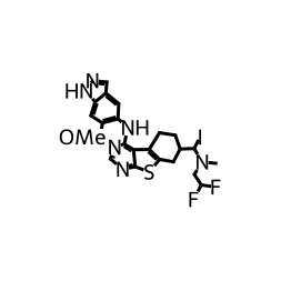 COc1cc2[nH]ncc2cc1Nc1ncnc2sc3c(c12)CCC(C(I)N(C)CC(F)F)C3